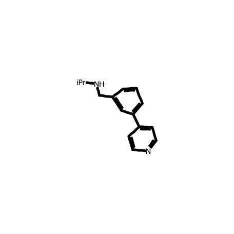 CC(C)NCc1cccc(-c2ccncc2)c1